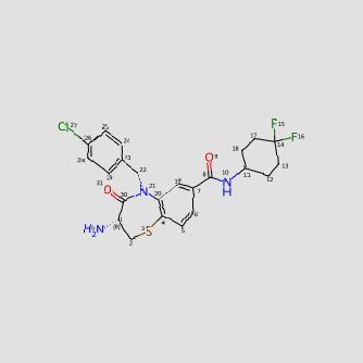 N[C@H]1CSc2ccc(C(=O)NC3CCC(F)(F)CC3)cc2N(Cc2ccc(Cl)cc2)C1=O